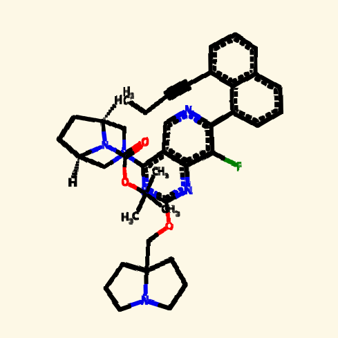 CCC#Cc1cccc2cccc(-c3ncc4c(N5C[C@H]6CC[C@@H](C5)N6C(=O)OC(C)(C)C)nc(OCC56CCCN5CCC6)nc4c3F)c12